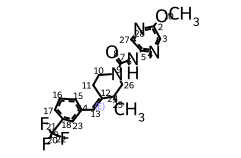 COc1cnc(NC(=O)N2CC/C(=C\c3cccc(C(F)(F)F)c3)C(C)C2)cn1